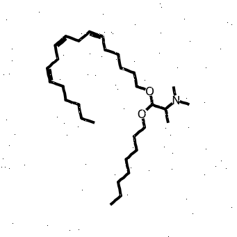 CCCCC/C=C\C/C=C\C/C=C\CCCCCOC(OCCCCCCCC)C(C)N(C)C